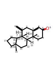 C=C1CC2=CC(=O)CC[C@]2(C)[C@@H]2CC[C@]3(C)CCC[C@H]3[C@H]12